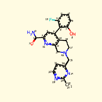 NC(=O)c1cc(-c2c(O)cccc2F)c2c(n1)CN(Cc1ccnc(C(F)(F)F)n1)CC2